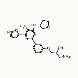 CNCC(O)COc1cccc(-c2nc(N[C@@H]3CCOC3)c(C)c(-c3cc[nH]n3)n2)c1